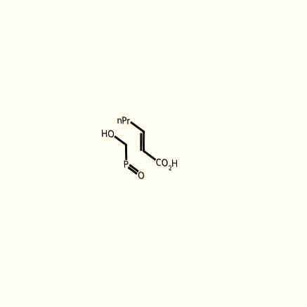 CCCC=CC(=O)O.O=PCO